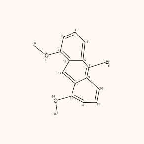 COc1cccc2c(Br)c3cccc(OC)c3cc12